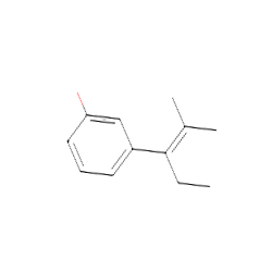 CCC(=C(C)C)c1cccc(O)c1